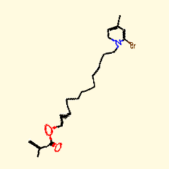 C=C(C)C(=O)OCCCCCCCCCCCN1CC=C(C)C=C1Br